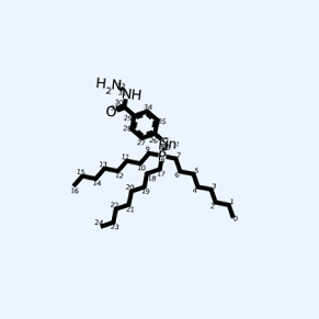 CCCCCCCC[PH](CCCCCCCC)(CCCCCCCC)[Sn][c]1ccc(C(=O)NN)cc1